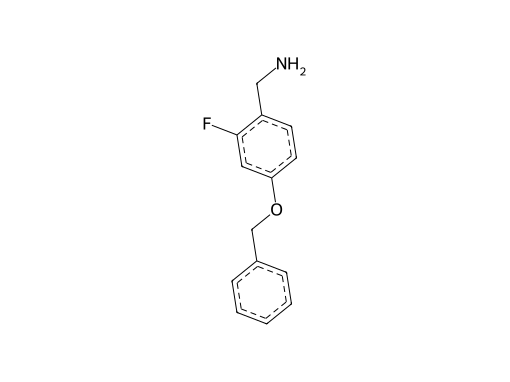 NCc1ccc(OCc2ccccc2)cc1F